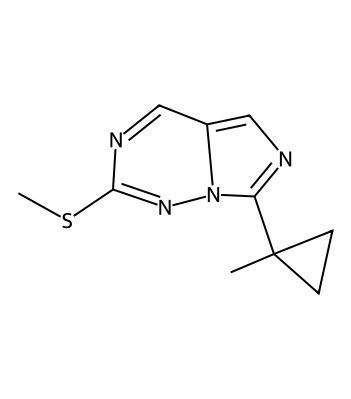 CSc1ncc2cnc(C3(C)CC3)n2n1